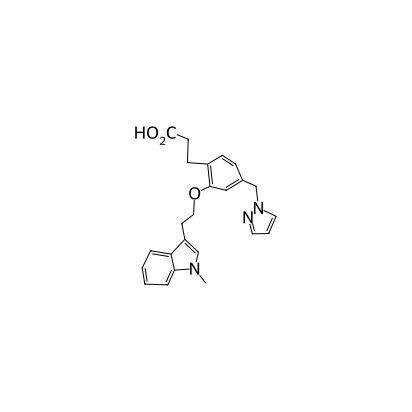 Cn1cc(CCOc2cc(Cn3cccn3)ccc2CCC(=O)O)c2ccccc21